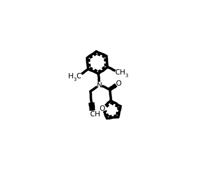 C#CCN(C(=O)c1ccco1)c1c(C)cccc1C